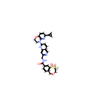 O=C(NCc1cc2nc(N3CCOc4ccc(C5CC5)nc43)ccc2cn1)c1ccc2c(c1)S(=O)(=O)[C@@H](F)COC2